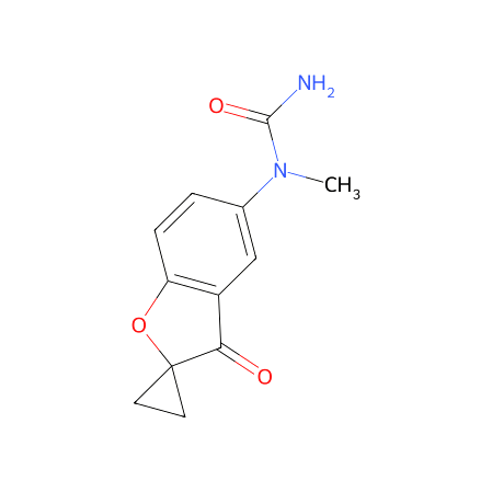 CN(C(N)=O)c1ccc2c(c1)C(=O)C1(CC1)O2